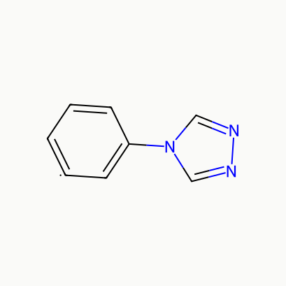 [c]1cccc(-n2cnnc2)c1